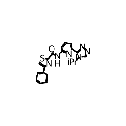 CC(C)n1cnnc1-c1cccc(NC(=O)c2nc(-c3ccccc3)cs2)n1